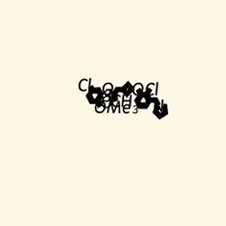 COc1ccc(Cl)cc1S(=O)(=O)N(C)CC1CC(Oc2cccc(CN3CCCC3)c2Cl)C1